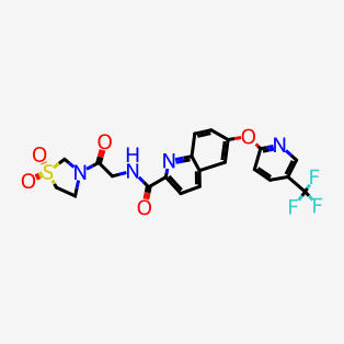 O=C(NCC(=O)N1CCS(=O)(=O)C1)c1ccc2cc(Oc3ccc(C(F)(F)F)cn3)ccc2n1